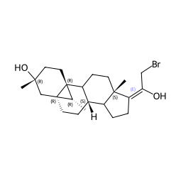 C[C@@H]1[C@]23CC[C@H]4C5CC/C(=C(\O)CBr)[C@@]5(C)CCC4[C@]12CC[C@@](C)(O)C3